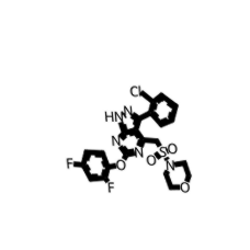 O=S(=O)(Cc1nc(Oc2ccc(F)cc2F)nc2[nH]nc(-c3ccccc3Cl)c12)N1CCOCC1